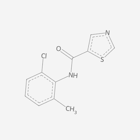 Cc1cccc(Cl)c1NC(=O)c1cncs1